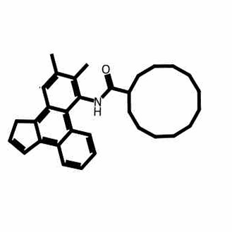 Cc1[c]c2c3c(c4ccccc4c2c(NC(=O)C2CCCCCCCCCCC2)c1C)C=CC3